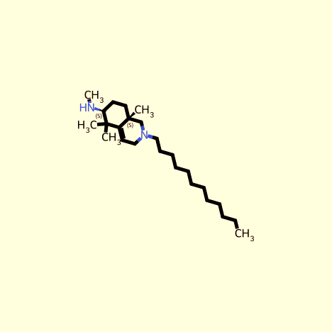 CCCCCCCCCCCCN1CC=C2C(C)(C)[C@@H](NC)CC[C@]2(C)C1